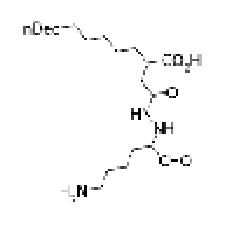 CCCCCCCCCCCCCCCC(CC(=O)NNC(C=O)CCCCN)C(=O)O